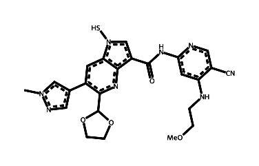 COCCNc1cc(NC(=O)c2cn(S)c3cc(-c4cnn(C)c4)c(C4OCCO4)nc23)ncc1C#N